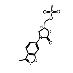 Cc1noc2cc(N3C[C@H](COS(C)(=O)=O)OC3=O)ccc12